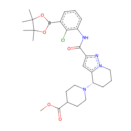 COC(=O)C1CCN([C@H]2CCCn3nc(C(=O)Nc4cccc(B5OC(C)(C)C(C)(C)O5)c4Cl)cc32)CC1